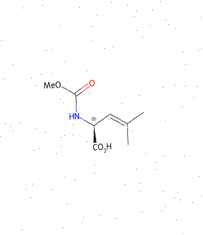 COC(=O)N[C@@H](C=C(C)C)C(=O)O